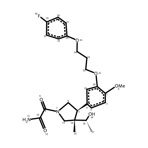 COc1ccc([C@@H]2CN(C(=O)C(N)=O)C[C@@]2(C)[C@@H](C)O)cc1OCCCOc1ccc(F)cc1